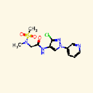 CN(CC(=O)Nc1cn(-c2cccnc2)nc1Cl)S(C)(=O)=O